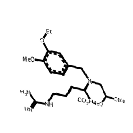 CCOc1cc(CN(CC(OC)OC)C(CCCNC(=N)N)C(=O)O)ccc1OC